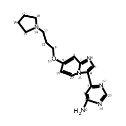 Nc1cc(-c2cnc3cc(OCCCN4CCCC4)ccn23)ncn1